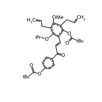 C=CCc1c(OC(=O)C(C)(C)C)c(C=CC(=O)c2ccc(OC(=O)C(C)(C)C)cc2)c(OC(C)C)c(CC=C)c1OC